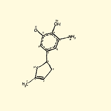 CC1=CCC(c2cc(N)c(O)c(Cl)c2)S1